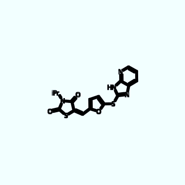 CC(C)N1C(=O)SC(=Cc2ccc(Sc3nc4cccnc4[nH]3)o2)C1=O